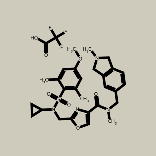 COc1cc(C)c(S(=O)(=O)N(Cc2nc(C(=O)N(C)Cc3ccc4c(c3)CN(C)C4)co2)C2CC2)c(C)c1.O=C(O)C(F)(F)F